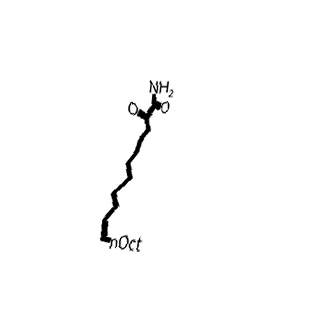 CCCCCCCC/C=C\CCCCCCCC(=O)C(N)=O